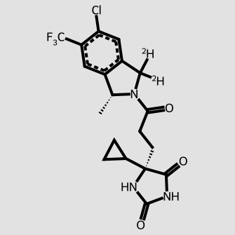 [2H]C1([2H])c2cc(Cl)c(C(F)(F)F)cc2[C@@H](C)N1C(=O)CC[C@@]1(C2CC2)NC(=O)NC1=O